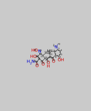 CN(C)c1ccc(O)c2c1C[C@H]1CC3/C(=N/O)C(O)=C(C(N)=O)C(=O)C3C(O)=C1C2=O